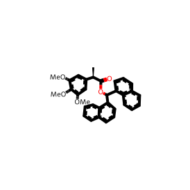 COc1cc([C@@H](C)C(=O)OC(c2cccc3ccccc23)c2cccc3ccccc23)cc(OC)c1OC